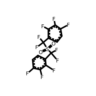 O=S(=O)(C(F)(F)c1ccc(F)c(F)c1F)C(F)(F)c1ccc(F)c(F)c1F